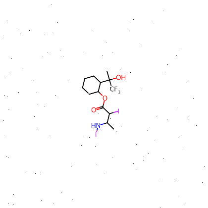 CC(NI)C(I)C(=O)OC1CCCCC1C(C)(O)C(F)(F)F